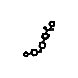 O=C(NC1CCCC1)c1ccc(N2CCC(OC3CCN(C4CCC4)CC3)CC2)cn1